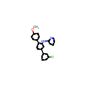 COc1ccc(-c2ccc(-c3cccc(Cl)c3)cc2Nc2ccccn2)cc1